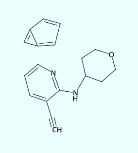 C#Cc1cccnc1NC1CCOCC1.c1cc2cc-2c1